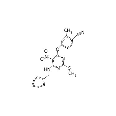 CSc1nc(NCc2ccccc2)c([N+](=O)[O-])c(Oc2ccc(C#N)c(C)c2)n1